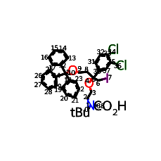 CC(C)(C)N(CCOC(CI)(CCOC(c1ccccc1)(c1ccccc1)c1ccccc1)c1ccc(Cl)c(Cl)c1)C(=O)O